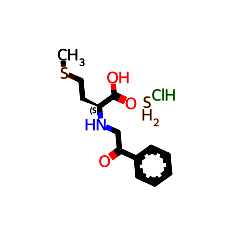 CSCC[C@H](NCC(=O)c1ccccc1)C(=O)O.Cl.S